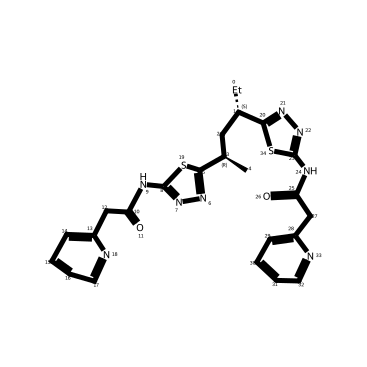 CC[C@@H](C[C@@H](C)c1nnc(NC(=O)Cc2ccccn2)s1)c1nnc(NC(=O)Cc2ccccn2)s1